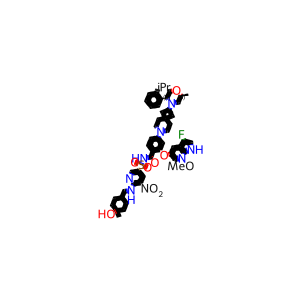 COc1nc2[nH]cc(F)c2cc1Oc1cc(N2CCC3(CC2)CC(N2C[C@H](C)OC[C@H]2c2ccccc2C(C)C)C3)ccc1C(=O)NS(=O)(=O)c1cnc(NCC2CCC(C)(O)CC2)c([N+](=O)[O-])c1